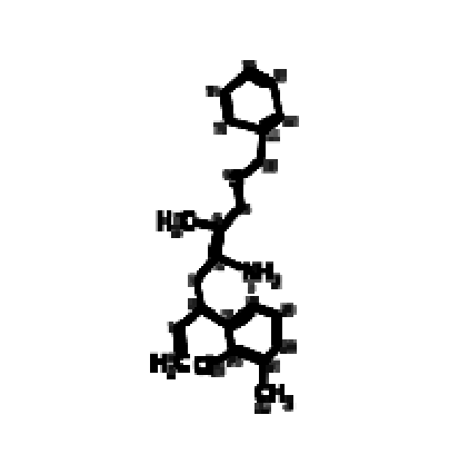 C=CC(C/C(N)=C(\C)CSCc1ccccc1)c1cccc(C)c1Cl